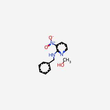 CO.O=[N+]([O-])c1cccnc1NCc1ccccc1